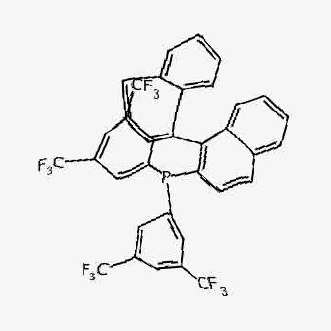 FC(F)(F)c1cc(P(c2cc(C(F)(F)F)cc(C(F)(F)F)c2)c2ccc3ccccc3c2-c2cccc3ccccc23)cc(C(F)(F)F)c1